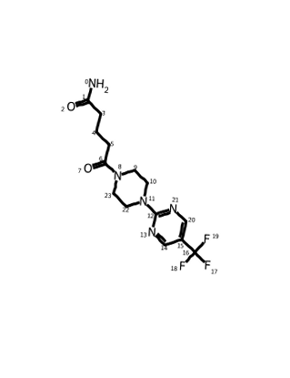 NC(=O)CCCC(=O)N1CCN(c2ncc(C(F)(F)F)cn2)CC1